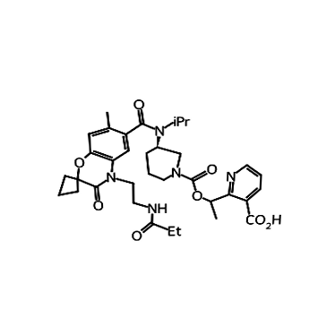 CCC(=O)NCCN1C(=O)C2(CCC2)Oc2cc(C)c(C(=O)N(C(C)C)[C@@H]3CCCN(C(=O)OC(C)c4ncccc4C(=O)O)C3)cc21